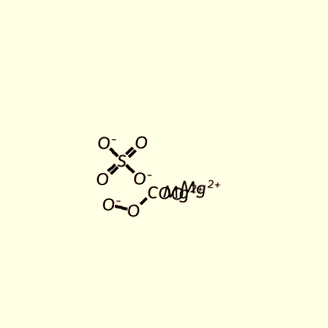 O=C([O-])O[O-].O=S(=O)([O-])[O-].[Mg+2].[Mg+2]